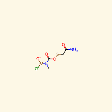 CN(C(=O)OSCC(N)=O)[S+]([O-])Cl